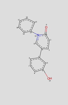 O=c1ccc(-c2cccc(O)c2)cn1-c1ccccc1